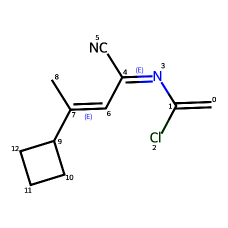 C=C(Cl)/N=C(C#N)\C=C(/C)C1CCC1